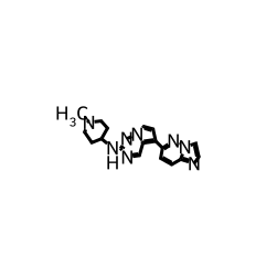 CN1CCC(Nc2ncc3c(-c4ccc5nccn5n4)ccn3n2)CC1